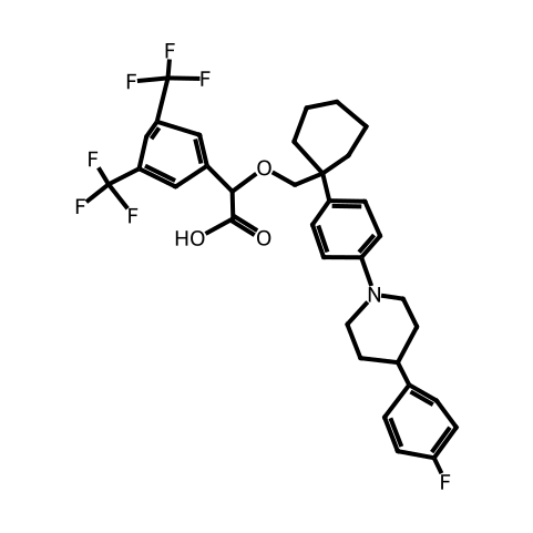 O=C(O)C(OCC1(c2ccc(N3CCC(c4ccc(F)cc4)CC3)cc2)CCCCC1)c1cc(C(F)(F)F)cc(C(F)(F)F)c1